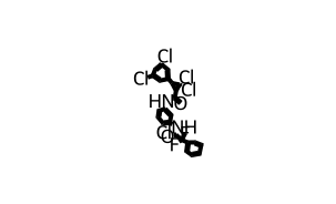 O=C(Nc1ccc(Cl)c(NC(=O)C(F)(F)c2ccccc2)c1)C1C(c2cc(Cl)cc(Cl)c2)C1(Cl)Cl